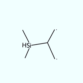 [CH2]C([CH2])[SiH](C)C